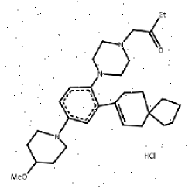 CCC(=O)CN1CCN(c2ccc(N3CCC(OC)CC3)cc2C2=CCC3(CCCC3)CC2)CC1.Cl